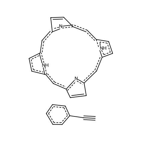 C#Cc1ccccc1.C1=Cc2cc3ccc(cc4nc(cc5ccc(cc1n2)[nH]5)C=C4)[nH]3